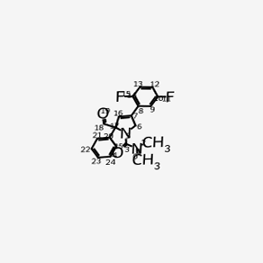 CN(C)C(=O)N1CC(c2cc(F)ccc2F)=CC1(C=O)c1ccccc1